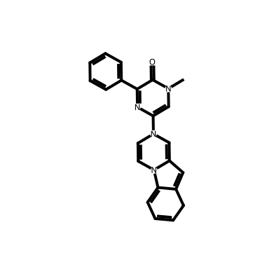 Cn1cc(N2C=Cn3c(cc4c3=CC=CC4)=C2)nc(-c2ccccc2)c1=O